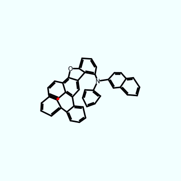 c1ccc2c(c#1)c(-c1ccccc1C1=CC=CCC1)cc1c2oc2cccc(N(c3ccccc3)c3ccc4ccccc4c3)c21